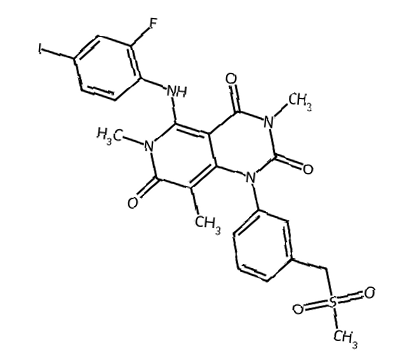 Cc1c(=O)n(C)c(Nc2ccc(I)cc2F)c2c(=O)n(C)c(=O)n(-c3cccc(CS(C)(=O)=O)c3)c12